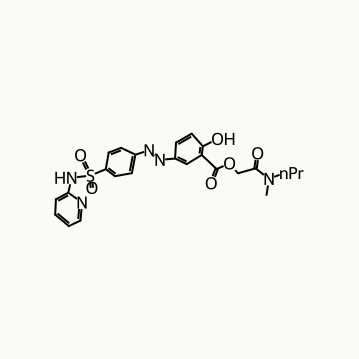 CCCN(C)C(=O)COC(=O)c1cc(N=Nc2ccc(S(=O)(=O)Nc3ccccn3)cc2)ccc1O